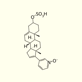 C[C@]12CCC(OS(=O)(=O)O)CC1=CC[C@@H]1[C@@H]2CC[C@]2(C)C(c3ccc[n+]([O-])c3)=CC[C@@H]12